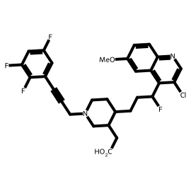 COc1ccc2ncc(Cl)c(C(F)CCC3CCN(CC#Cc4cc(F)cc(F)c4F)CC3CC(=O)O)c2c1